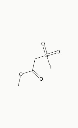 COC(=O)CS(=O)(=O)I